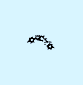 Cc1ccc(C2=NOC3(CCN(OC(=O)Nc4cccc(C)c4)CC3)C2)cc1